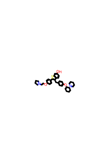 Oc1ccc2c(Cc3ccc(O[C@@H]4CCCC[C@H]4N4CCCCC4)cc3)c(-c3ccc(OCCN4CCCC4)cc3)sc2c1